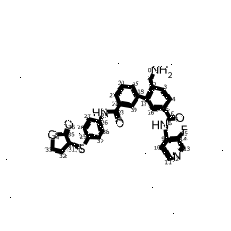 NCc1ccc(C(=O)Nc2ccncc2F)cc1-c1cccc(C(=O)Nc2ccc(SC3CCOC3=O)cc2)c1